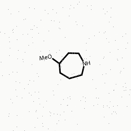 CO[C]1CCCNCC1